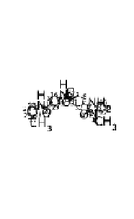 CCN(C(=O)C(N)C1CCC(S(=O)(=O)Nc2ccc(C(=O)Nc3cccc(C)c3)cc2)CC1)C1CCCC1